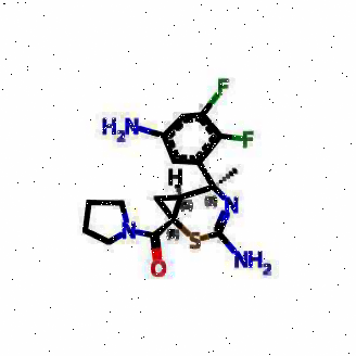 C[C@]1(c2cc(N)cc(F)c2F)N=C(N)S[C@]2(C(=O)N3CCCC3)C[C@H]21